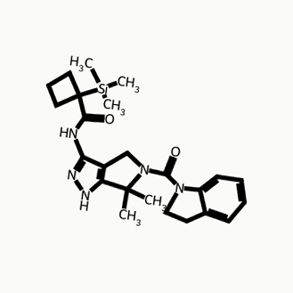 CC1(C)c2[nH]nc(NC(=O)C3([Si](C)(C)C)CCC3)c2CN1C(=O)N1CCc2ccccc21